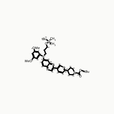 COc1cc(OC)cc(N(CCCO[Si](C)(C)C(C)(C)C)c2ccc3ncc(-c4ccc(C5CCN(C(=O)OC(C)(C)C)CC5)nc4)nc3c2)c1